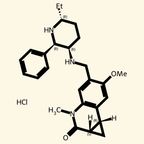 CC[C@@H]1CC[C@@H](NCc2cc3c(cc2OC)[C@@H]2C[C@@H]2C(=O)N3C)[C@@H](c2ccccc2)N1.Cl